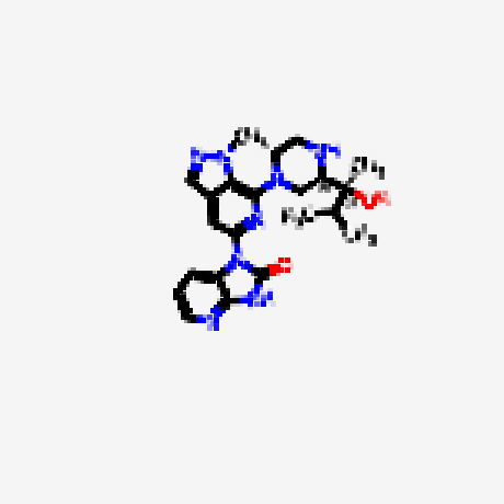 CC(C)[C@](C)(O)[C@H]1CN(c2nc(-n3c(=O)[nH]c4ncccc43)cc3cnn(C)c23)CCN1